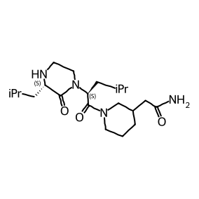 CC(C)C[C@@H]1NCCN([C@@H](CC(C)C)C(=O)N2CCCC(CC(N)=O)C2)C1=O